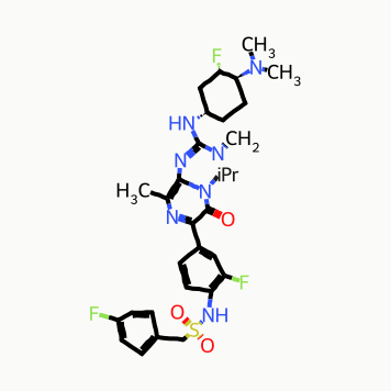 C=N/C(=N\c1c(C)nc(-c2ccc(NS(=O)(=O)Cc3ccc(F)cc3)c(F)c2)c(=O)n1C(C)C)N[C@H]1CC[C@H](N(C)C)[C@@H](F)C1